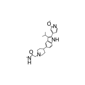 CNC(=O)CN1CCC(c2ccc3[nH]c(-c4ccnc(OC)c4)c(C(C)C)c3c2)CC1